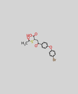 CC(=O)SC(CC(=O)c1ccc(Oc2ccc(Br)cc2)cc1)C(=O)O